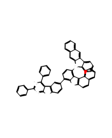 c1ccc(-c2nc(-c3ccccc3)c3c(n2)oc2ccc(-c4ccc(-n5c6ccccc6c6cc7ccccc7cc65)c5c4oc4ccc6ccccc6c45)cc23)cc1